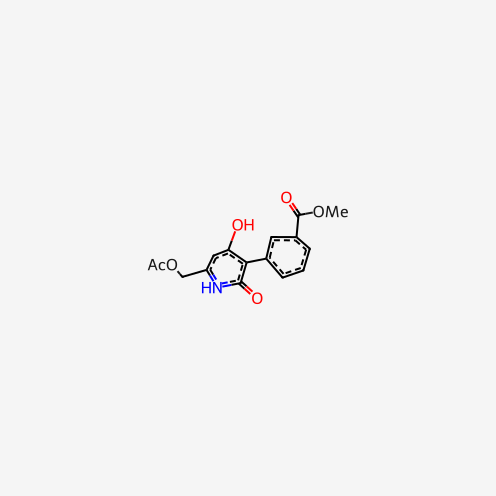 COC(=O)c1cccc(-c2c(O)cc(COC(C)=O)[nH]c2=O)c1